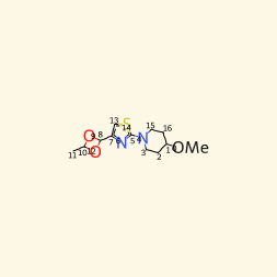 COC1CCN(c2nc(C3OC(C)O3)cs2)CC1